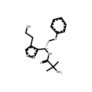 CC(C)(N)C(=O)N[C@@H](COc1ccccc1)c1nocc1CCC#N